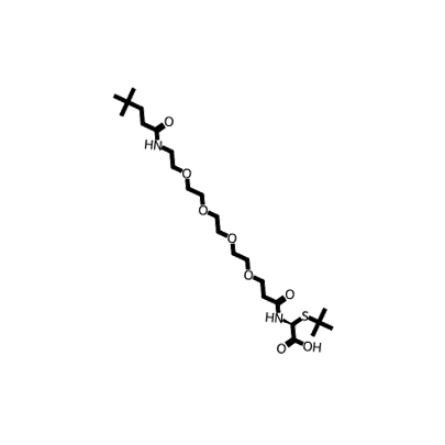 CC(C)(C)CCC(=O)NCCOCCOCCOCCOCCC(=O)N[C@@H](SC(C)(C)C)C(=O)O